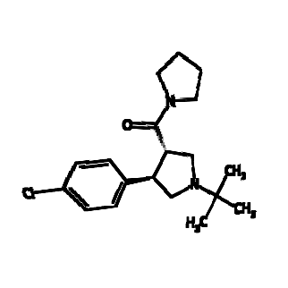 CC(C)(C)N1C[C@@H](C(=O)N2CCCC2)[C@H](c2ccc(Cl)cc2)C1